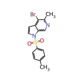 Cc1ccc(S(=O)(=O)n2ccc3c(Br)c(C)ncc32)cc1